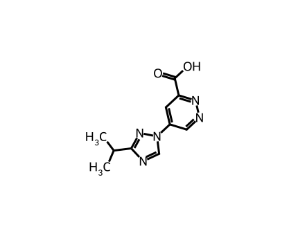 CC(C)c1ncn(-c2cnnc(C(=O)O)c2)n1